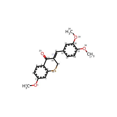 COc1ccc2c(c1)SC/C(=C\c1ccc(OC)c(OC)c1)C2=O